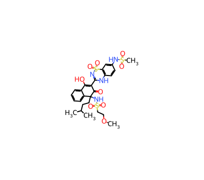 COCCS(=O)(=O)NC1(CCC(C)C)C(=O)C(C2=NS(=O)(=O)c3cc(NS(C)(=O)=O)ccc3N2)=C(O)c2ccccc21